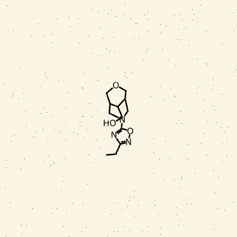 CCc1noc(N2CC3COCC(C2)C3CO)n1